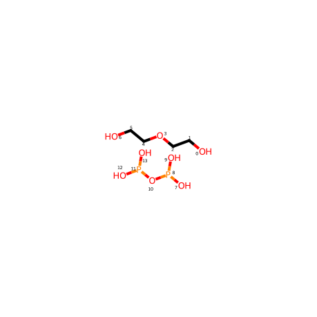 OCCOCCO.OP(O)OP(O)O